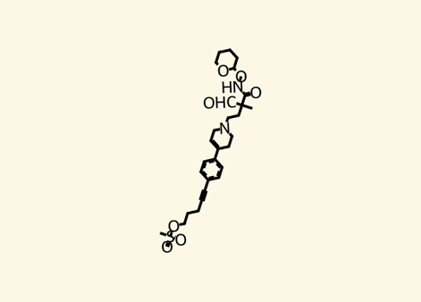 CC(C=O)(CCN1CC=C(c2ccc(C#CCCCOS(C)(=O)=O)cc2)CC1)C(=O)NOC1CCCCO1